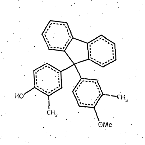 COc1ccc(C2(c3ccc(O)c(C)c3)c3ccccc3-c3ccccc32)cc1C